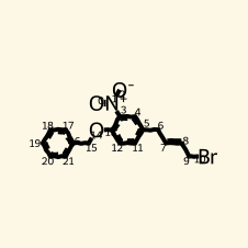 O=[N+]([O-])c1cc(C/C=C/CBr)ccc1OCc1ccccc1